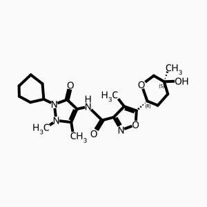 Cc1c(C(=O)Nc2c(C)n(C)n(C3CCCCC3)c2=O)noc1[C@H]1CC[C@](C)(O)CO1